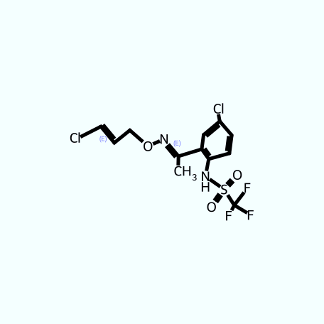 C/C(=N\OC/C=C/Cl)c1cc(Cl)ccc1NS(=O)(=O)C(F)(F)F